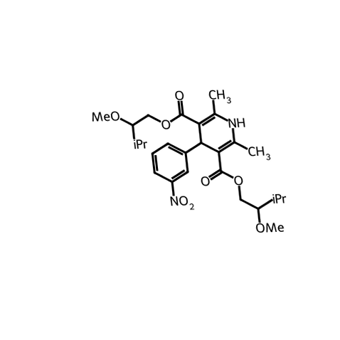 COC(COC(=O)C1=C(C)NC(C)=C(C(=O)OCC(OC)C(C)C)C1c1cccc([N+](=O)[O-])c1)C(C)C